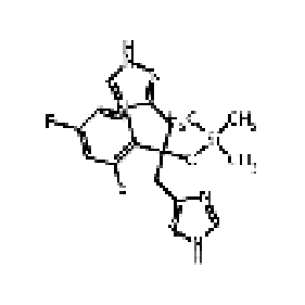 C[Si](C)(C)OC(Cc1nc[nH]n1)(Cc1nc[nH]n1)c1ccc(F)cc1F